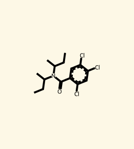 CCC(C)N(C(=O)c1cc(Cl)c(Cl)cc1Cl)C(C)CC